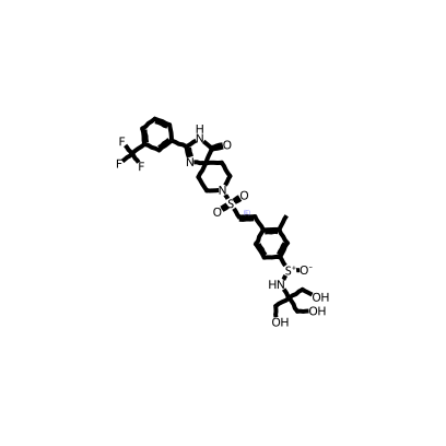 Cc1cc([S+]([O-])NC(CO)(CO)CO)ccc1/C=C/S(=O)(=O)N1CCC2(CC1)N=C(c1cccc(C(F)(F)F)c1)NC2=O